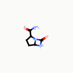 NC(=O)C1CCC2NC(=O)N21